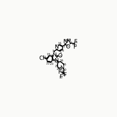 O=c1n(Cc2ccc(-c3nnc(C(F)F)o3)cn2)c2cc(Cl)ccc2n1C1CCN(CC(F)(F)F)CC1